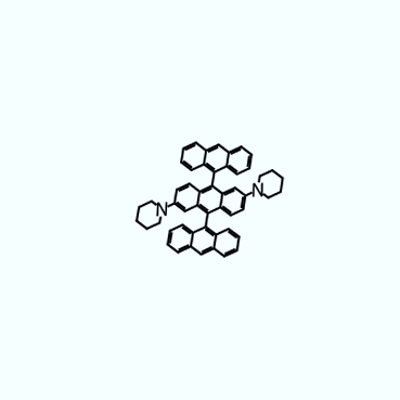 c1ccc2c(-c3c4ccc(N5CCCCC5)cc4c(-c4c5ccccc5cc5ccccc45)c4ccc(N5CCCCC5)cc34)c3ccccc3cc2c1